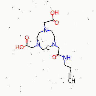 C#CCCNC(=O)CN1CCN(CC(=O)O)CCN(CC(=O)O)CC1